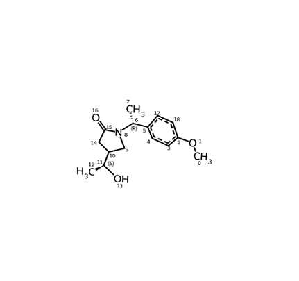 COc1ccc([C@@H](C)N2CC([C@H](C)O)CC2=O)cc1